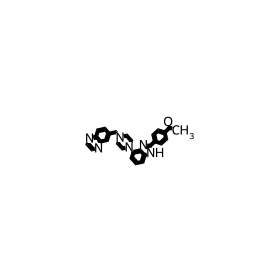 CC(=O)c1ccc(-c2nc3c(N4CCN(Cc5ccc6nccnc6c5)CC4)cccc3[nH]2)cc1